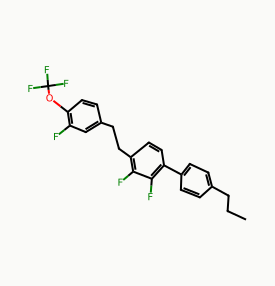 CCCc1ccc(-c2ccc(CCc3ccc(OC(F)(F)F)c(F)c3)c(F)c2F)cc1